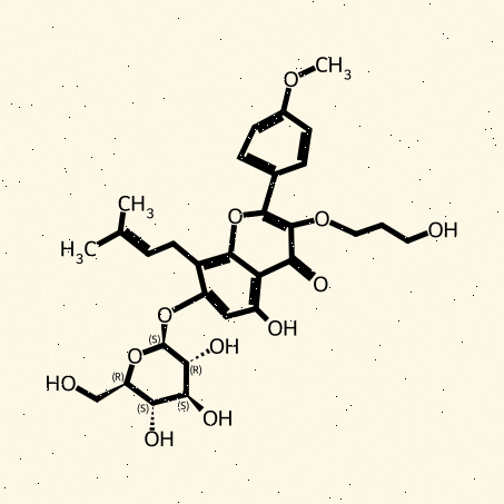 COc1ccc(-c2oc3c(CC=C(C)C)c(O[C@@H]4O[C@H](CO)[C@@H](O)[C@H](O)[C@H]4O)cc(O)c3c(=O)c2OCCCO)cc1